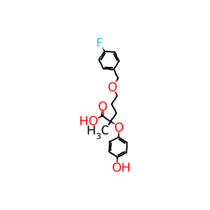 CC(CCCOCc1ccc(F)cc1)(Oc1ccc(O)cc1)C(=O)O